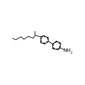 CCCCCCC(C)c1ccc(-c2ccc(N)cc2)cc1